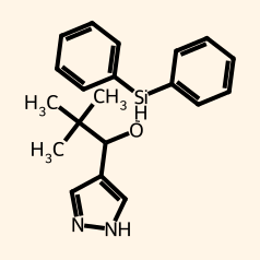 CC(C)(C)C(O[SiH](c1ccccc1)c1ccccc1)c1cn[nH]c1